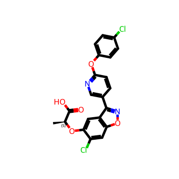 C[C@H](Oc1cc2c(-c3ccc(Oc4ccc(Cl)cc4)nc3)noc2cc1Cl)C(=O)O